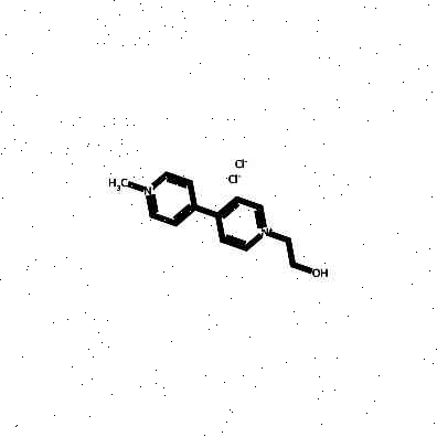 C[n+]1ccc(-c2cc[n+](CCO)cc2)cc1.[Cl-].[Cl-]